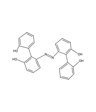 Oc1ccccc1-c1c(O)cccc1N=Nc1cccc(O)c1-c1ccccc1O